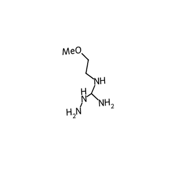 COCCNC(N)NN